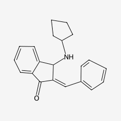 O=C1/C(=C/c2ccccc2)C(NC2CCCC2)c2ccccc21